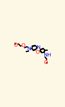 CC/[N+](CCOCCOC)=c1/ccc2nc3cc(C)c(NCCOC)cc3oc-2c1